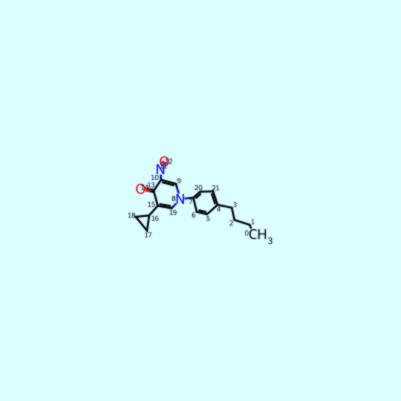 CCCCc1ccc(-n2cc(N=O)c(=O)c(C3CC3)c2)cc1